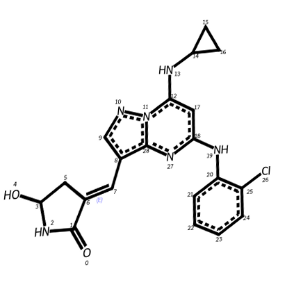 O=C1NC(O)C/C1=C\c1cnn2c(NC3CC3)cc(Nc3ccccc3Cl)nc12